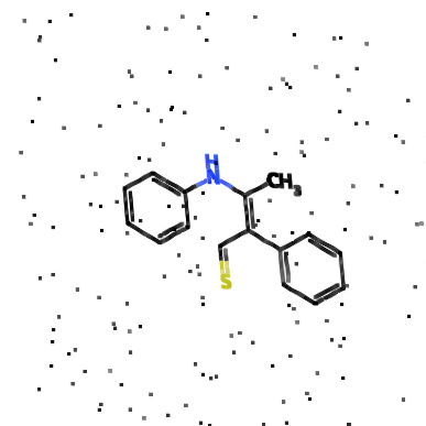 CC(Nc1ccccc1)=C(C=S)c1ccccc1